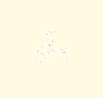 CNC(=O)c1cccc(-c2cccnc2[C@H](Cc2cc(F)cc(F)c2)NC(=O)Cn2c(C)cc3cc(F)ccc32)c1